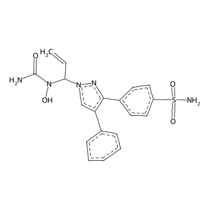 C=CC(N(O)C(N)=O)n1cc(-c2ccccc2)c(-c2ccc(S(N)(=O)=O)cc2)n1